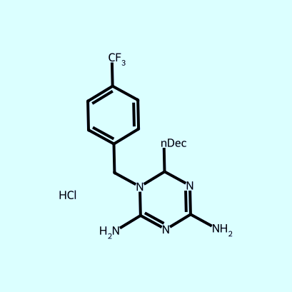 CCCCCCCCCCC1N=C(N)N=C(N)N1Cc1ccc(C(F)(F)F)cc1.Cl